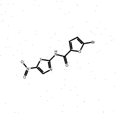 O=C(Nc1ncc([N+](=O)[O-])s1)c1ccc(Br)o1